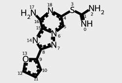 N=C(N)Sc1cn2nc(-c3ccco3)nc2c(N)n1